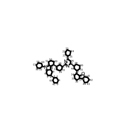 c1ccc(-c2ccc3c(c2)c2c(-c4cccc(-c5nc(-c6ccccc6)cc(-c6cccc(-c7cccc8c7oc7ccccc78)c6)n5)c4)cccc2n3-c2ccccc2)cc1